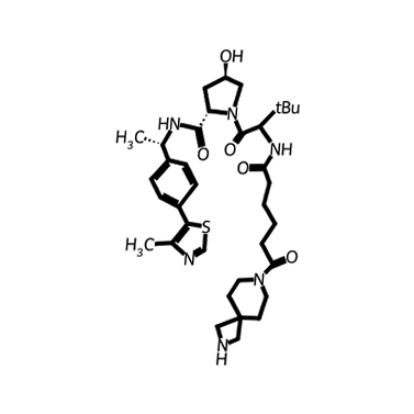 Cc1ncsc1-c1ccc([C@H](C)NC(=O)[C@@H]2C[C@@H](O)CN2C(=O)C(NC(=O)CCCCC(=O)N2CCC3(CC2)CNC3)C(C)(C)C)cc1